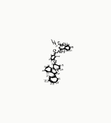 CN(C)CC(NC(=O)c1cccc(OC2CCN(CC(c3ccccc3)c3ccccc3)CC2)c1)c1ccccc1